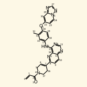 C=CC(=O)N1CC=C(c2ccc3ncnc(Nc4ccc(Oc5ccn6ncnc6c5)c(C)c4)c3n2)CC1